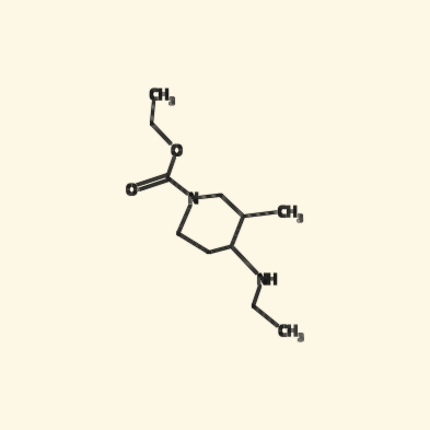 CCNC1CCN(C(=O)OCC)CC1C